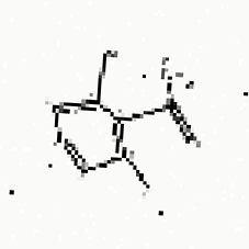 C=C(N)c1c(C)cccc1C